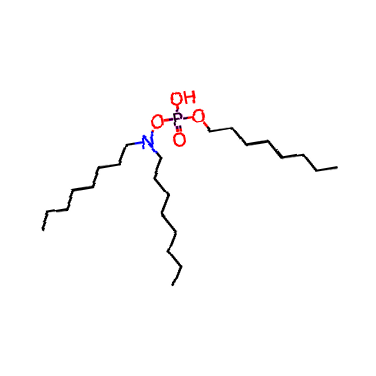 CCCCCCCCOP(=O)(O)ON(CCCCCCCC)CCCCCCCC